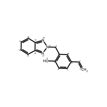 C=Cc1ccc(O)c(Cn2nc3ccccc3n2)c1